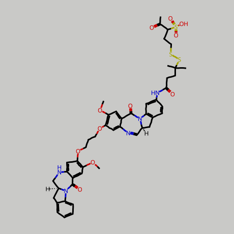 COc1cc2c(cc1OCCCOc1cc3c(cc1OC)C(=O)N1c4ccccc4C[C@H]1CN3)N=C[C@@H]1Cc3ccc(NC(=O)CCC(C)(C)SSCCC(C(C)=O)S(=O)(=O)O)cc3N1C2=O